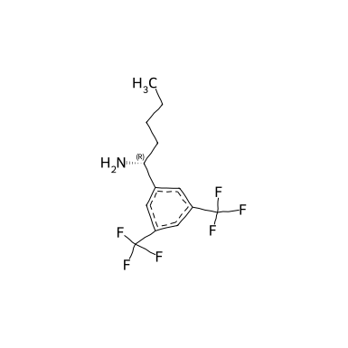 CCCC[C@@H](N)c1cc(C(F)(F)F)cc(C(F)(F)F)c1